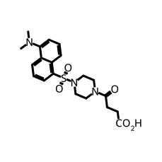 CN(C)c1cccc2c(S(=O)(=O)N3CCN(C(=O)CCC(=O)O)CC3)cccc12